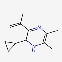 C=C(C)C1=NC(C)=C(C)NC1C1CC1